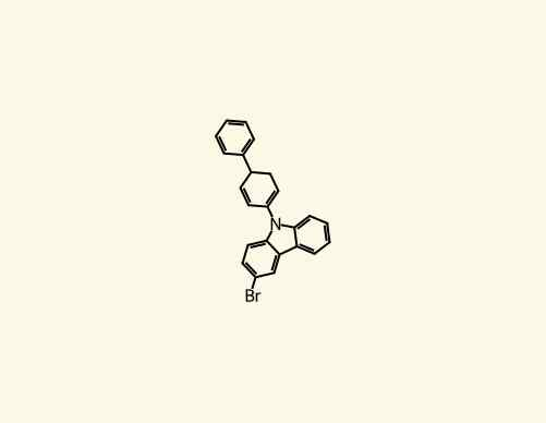 Brc1ccc2c(c1)c1ccccc1n2C1=CCC(c2ccccc2)C=C1